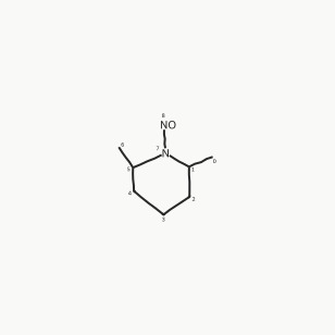 CC1CCCC(C)N1N=O